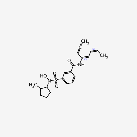 C=C=C/C(=C\C=C/C)NC(=O)c1cccc(S(=O)(=O)N(O)C2CCCC2C)c1